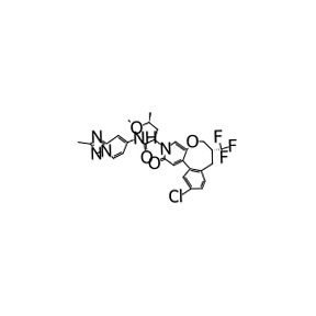 CO[C@@H](C)CC(C(=O)Nc1ccn2nc(C)nc2c1)n1cc2c(cc1=O)-c1cc(Cl)ccc1C[C@@H](C(F)(F)F)CO2